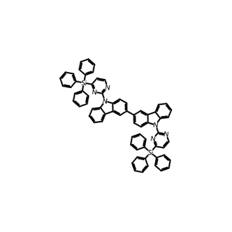 c1ccc([Si](c2ccccc2)(c2ccccc2)c2ccnc(-n3c4ccccc4c4cc(-c5ccc6c(c5)c5ccccc5n6-c5nccc([Si](c6ccccc6)(c6ccccc6)c6ccccc6)n5)ccc43)n2)cc1